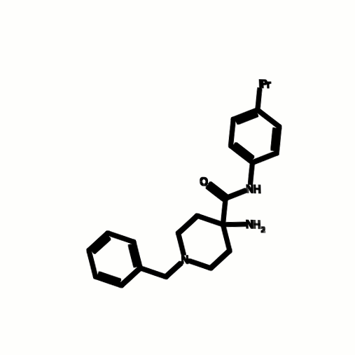 CC(C)c1ccc(NC(=O)C2(N)CCN(Cc3ccccc3)CC2)cc1